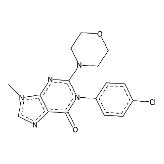 Cn1cnc2c(=O)n(-c3ccc(Cl)cc3)c(N3CCOCC3)nc21